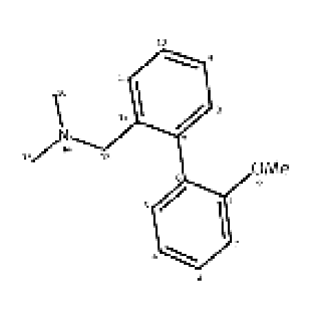 COc1c[c]ccc1-c1ccccc1CN(C)C